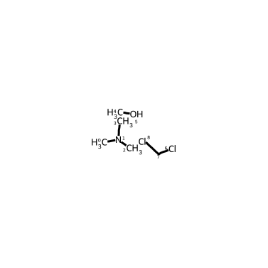 CN(C)C.CO.ClCCl